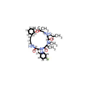 CCC[C@@H]1NCC(C)(C)Oc2ccccc2CCCNC(=O)[C@@H](Cc2ccc(F)cc2)NC(=O)[C@@H](C)N(C)C1=O